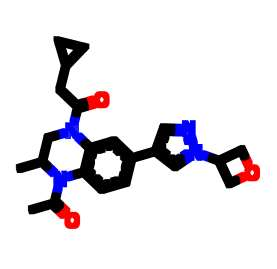 CC(=O)N1c2ccc(-c3cnn(C4COC4)c3)cc2N(C(=O)CC2CC2)CC1C